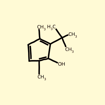 Cc1ccc(C)c(C(C)(C)C)c1O